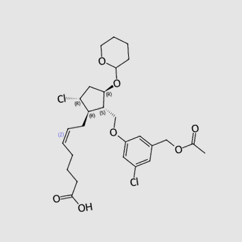 CC(=O)OCc1cc(Cl)cc(OC[C@@H]2[C@@H](C/C=C\CCCC(=O)O)[C@H](Cl)C[C@H]2OC2CCCCO2)c1